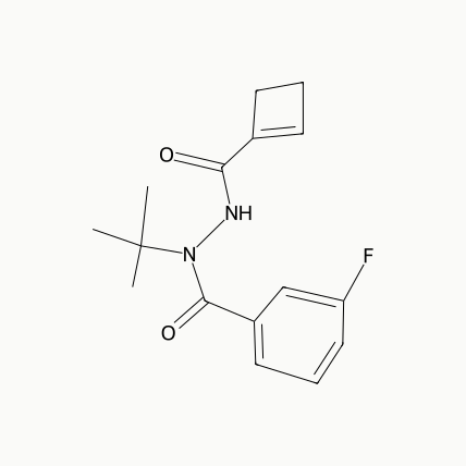 CC(C)(C)N(NC(=O)C1=CCC1)C(=O)c1cccc(F)c1